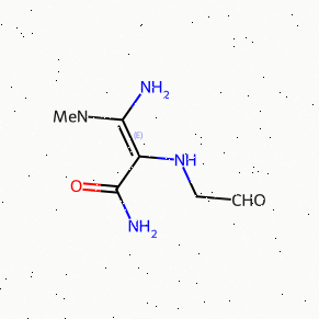 CN/C(N)=C(/NCC=O)C(N)=O